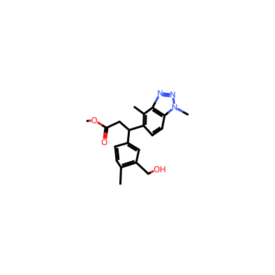 COC(=O)CC(c1ccc(C)c(CO)c1)c1ccc2c(nnn2C)c1C